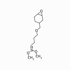 CO[SiH](CCCCOCC1CCC2OC2C1)OC